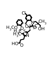 COc1cccc([C@H]2O[C@H](Cc3nc(CCC(=O)O)c(C)s3)C(=O)N(CC(C)(C)CO)c3ccc(Cl)cc32)c1OC